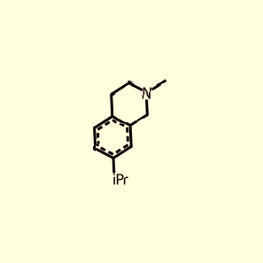 CC(C)c1ccc2c(c1)CN(C)CC2